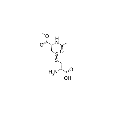 COC(=O)[C@H](CSSCC(N)C(=O)O)NC(C)=O